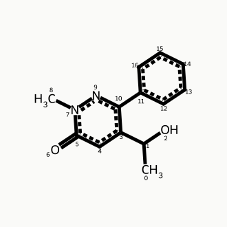 CC(O)c1cc(=O)n(C)nc1-c1ccccc1